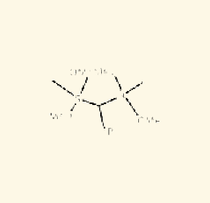 CCCC([Si](C)(OC)OC)[Si](C)(OC)OC